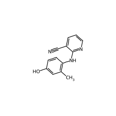 Cc1cc(O)ccc1Nc1ncccc1C#N